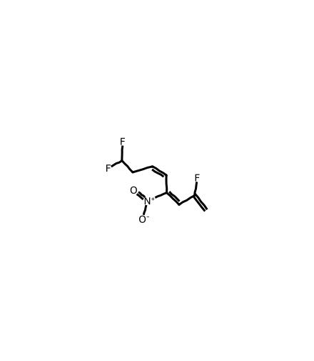 C=C(F)/C=C(\C=C/CC(F)F)[N+](=O)[O-]